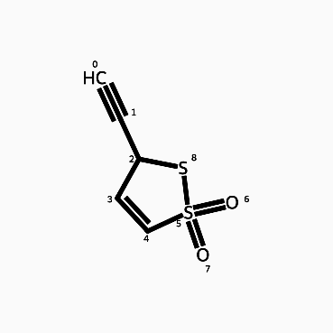 C#CC1C=CS(=O)(=O)S1